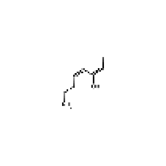 C/C=C(O)\C=C/CCN